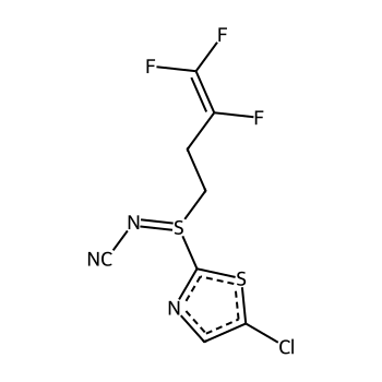 N#C/N=S(/CCC(F)=C(F)F)c1ncc(Cl)s1